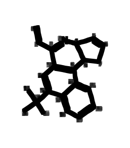 C=CC1=NC2C=CCC2c2c1cc(C(C)(C)C)c1ccccc21